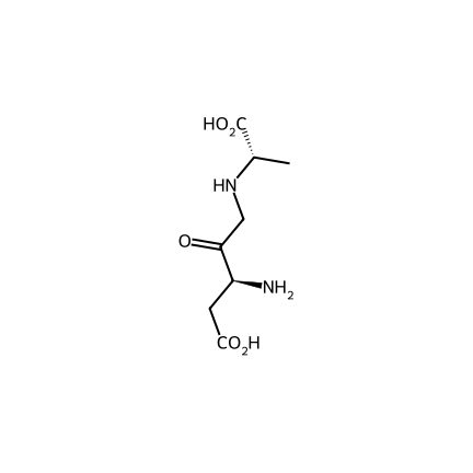 C[C@H](NCC(=O)[C@@H](N)CC(=O)O)C(=O)O